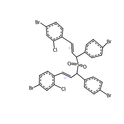 O=S(=O)(C(/C=C/c1ccc(Br)cc1Cl)c1ccc(Br)cc1)C(/C=C/c1ccc(Br)cc1Cl)c1ccc(Br)cc1